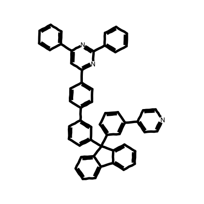 c1ccc(-c2cc(-c3ccc(-c4cccc(C5(c6cccc(-c7ccncc7)c6)c6ccccc6-c6ccccc65)c4)cc3)nc(-c3ccccc3)n2)cc1